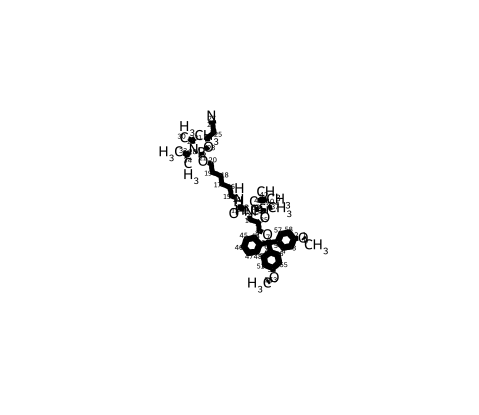 COc1ccc(C(OCC(CNC(=O)NCCCCCCOP(OCCC#N)N(C(C)C)C(C)C)O[Si](C)(C)C(C)(C)C)(c2ccccc2)c2ccc(OC)cc2)cc1